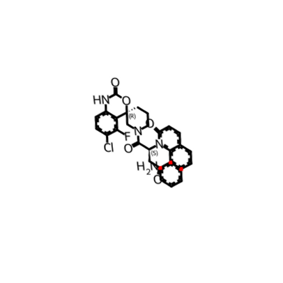 NC(=O)c1cccc2ccc(=O)n([C@@H](Cc3ccccc3)C(=O)N3CCC[C@@]4(C3)OC(=O)Nc3ccc(Cl)c(F)c34)c12